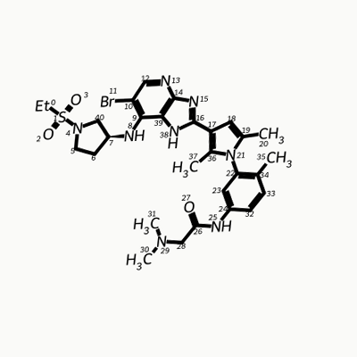 CCS(=O)(=O)N1CC[C@H](Nc2c(Br)cnc3nc(-c4cc(C)n(-c5cc(NC(=O)CN(C)C)ccc5C)c4C)[nH]c23)C1